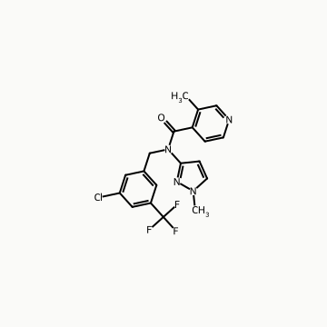 Cc1cnccc1C(=O)N(Cc1cc(Cl)cc(C(F)(F)F)c1)c1ccn(C)n1